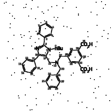 CCCCn1c(-c2ccccc2)nc(-c2ccccc2)c1CN(Cc1ccccc1)Cc1cc(C(=O)O)cc(C(=O)O)c1